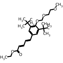 CCOC(=O)C=CC=Cc1cc(C(C)(C)C)c(OCOCCOC)c(C(C)(C)C)c1